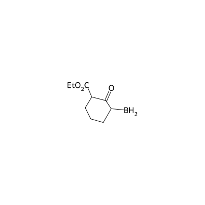 BC1CCCC(C(=O)OCC)C1=O